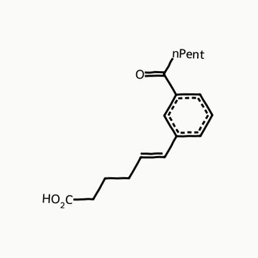 CCCCCC(=O)c1cccc(C=CCCCC(=O)O)c1